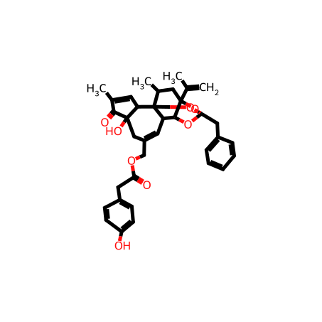 C=C(C)C12CC(C)C34OC(Cc5ccccc5)(OC1C3C=C(COC(=O)Cc1ccc(O)cc1)CC1(O)C(=O)C(C)=CC14)O2